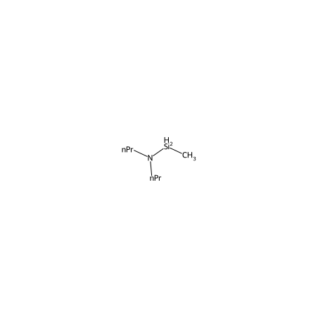 CCCN(CCC)[SiH2]C